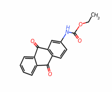 CCOC(=O)Nc1ccc2c(c1)C(=O)c1ccccc1C2=O